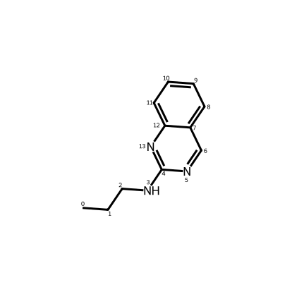 CCCNc1ncc2ccccc2n1